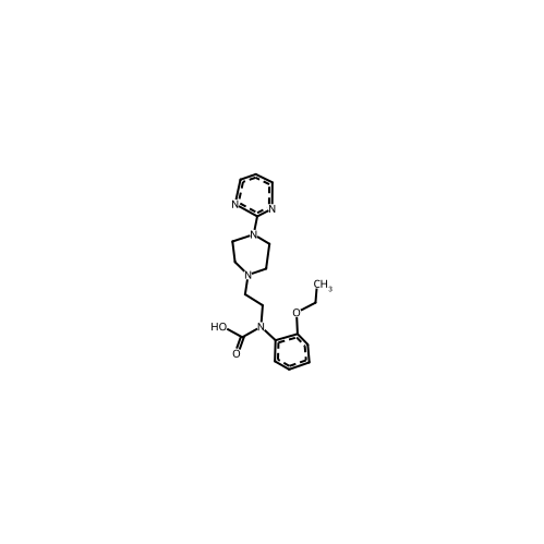 CCOc1ccccc1N(CCN1CCN(c2ncccn2)CC1)C(=O)O